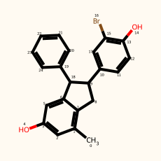 Cc1cc(O)cc2c1CC(c1ccc(O)c(Br)c1)C2c1ccccc1